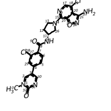 Cn1cc(-c2ccc(C(=O)N[C@@H]3CCN(c4ncc(Cl)c5c(N)noc45)C3)c(Cl)c2)cnc1=O